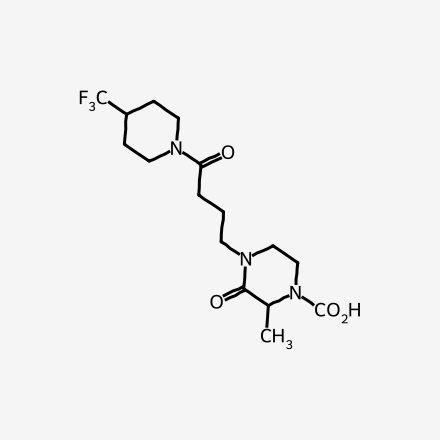 CC1C(=O)N(CCCC(=O)N2CCC(C(F)(F)F)CC2)CCN1C(=O)O